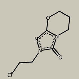 O=c1n(CCCl)nc2n1CCCO2